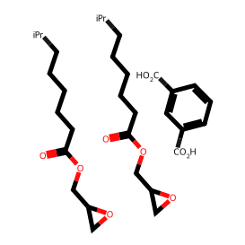 CC(C)CCCCCC(=O)OCC1CO1.CC(C)CCCCCC(=O)OCC1CO1.O=C(O)c1cccc(C(=O)O)c1